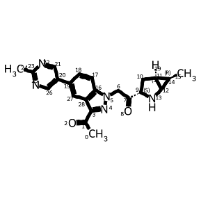 CC(=O)c1nn(CC(=O)[C@@H]2C[C@@H]3C(N2)[C@@H]3C)c2ccc(-c3cnc(C)nc3)cc12